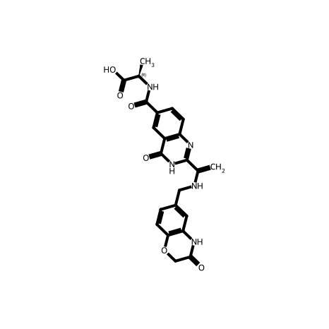 C=C(NCc1ccc2c(c1)NC(=O)CO2)c1nc2ccc(C(=O)N[C@H](C)C(=O)O)cc2c(=O)[nH]1